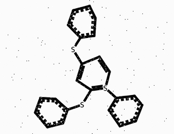 C1=CS(c2ccccc2)=C(Sc2ccccc2)C=C1Sc1ccccc1